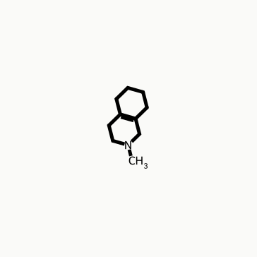 CN1CCC2=C(CCCC2)C1